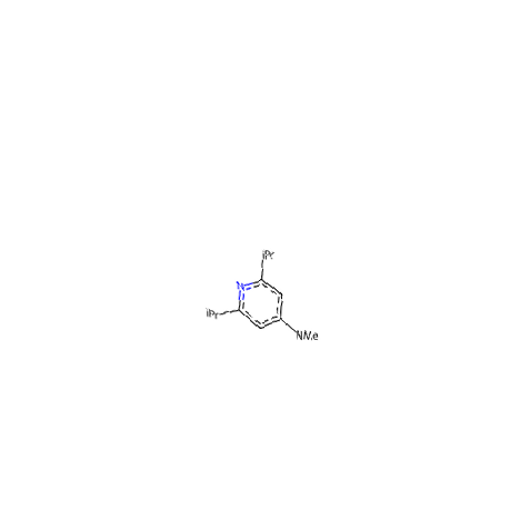 CNc1cc(C(C)C)nc(C(C)C)c1